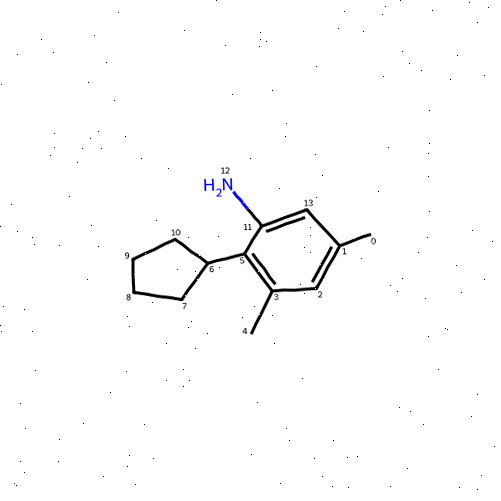 Cc1cc(C)c(C2CCCC2)c(N)c1